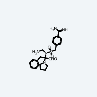 N=C(N)c1ccc(CS(=O)(=O)N(CN)C(C=O)(Cc2ccccc2)N2CCCC2)cc1